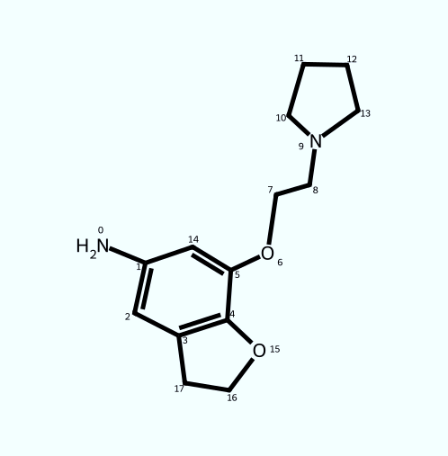 Nc1cc2c(c(OCCN3CCCC3)c1)OCC2